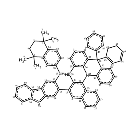 CC1(C)CCC(C)(C)c2cc(Nc3cc4c(cc3-c3cc5ccccc5c5c3Bc3cccc6c3N5c3ccccc3C6(C3=CC=CCC3)c3ccccc3)sc3ccccc34)ccc21